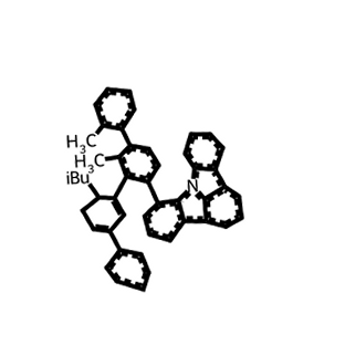 CCC(C)C1CC=C(c2ccccc2)C=C1c1c(-c2cccc3c4cccc5c6ccccc6n(c23)c54)ccc(-c2ccccc2C)c1C